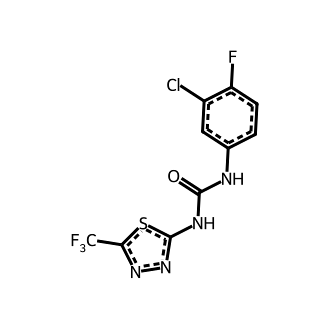 O=C(Nc1ccc(F)c(Cl)c1)Nc1nnc(C(F)(F)F)s1